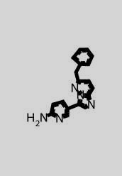 Nc1ccc(-c2cnc3ccc(Cc4ccccc4)nn23)cn1